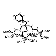 CO[Si](CCC[N+](CCC[Si](OC)(OC)OC)(CCC[Si](OC)(OC)OC)Cc1ccccc1)(OC)OC